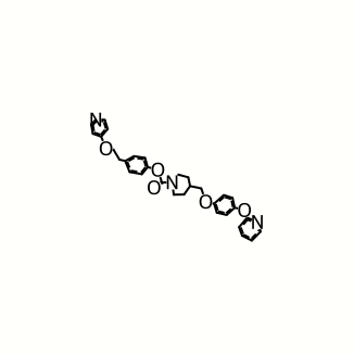 O=C(Oc1ccc(CCOc2ccncc2)cc1)N1CCC(COc2ccc(Oc3ccccn3)cc2)CC1